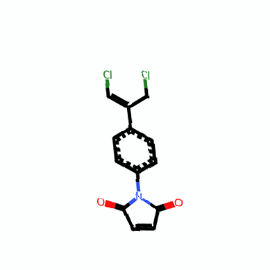 O=C1C=CC(=O)N1c1ccc(C(=CCl)CCl)cc1